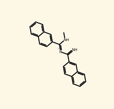 CN/C(=N\C(=N)c1ccc2ccccc2c1)c1ccc2ccccc2c1